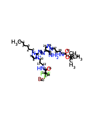 CCCCCCn1cc[n+](CCCNC(=O)C(F)(F)F)c1/N=N/c1cnn(CCCNC(=O)OC(C)(C)C)c1N.[Br-]